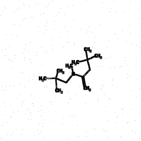 C=C(CC(C)(C)C)N(C)CC(C)(C)C